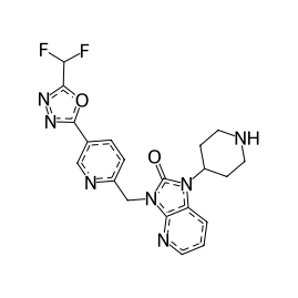 O=c1n(Cc2ccc(-c3nnc(C(F)F)o3)cn2)c2ncccc2n1C1CCNCC1